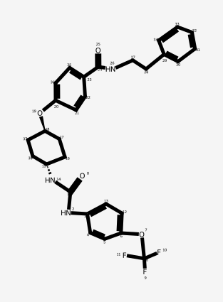 O=C(Nc1ccc(OC(F)(F)F)cc1)N[C@H]1CC[C@H](Oc2ccc(C(=O)NCCc3ccccc3)cc2)CC1